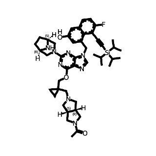 CC(=O)N1C[C@H]2CN(CC3(COc4nc(N5C[C@H]6CC[C@@H](C5)N6)nc5c4ncn5Cc4cc(O)cc5ccc(F)c(C#C[Si](C(C)C)(C(C)C)C(C)C)c45)CC3)C[C@H]2C1